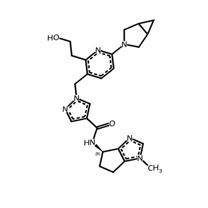 Cn1cnc2c1CC[C@H]2NC(=O)c1cnn(Cc2ccc(N3CC4CC4C3)nc2CCO)c1